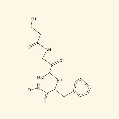 CCNC(=O)C(Cc1ccccc1)NC(C)C(=O)CNC(=O)CCS